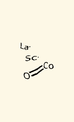 [La].[O]=[Co].[Sc]